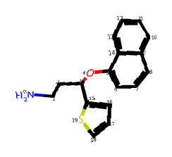 NCCC(Oc1cccc2ccccc12)c1cccs1